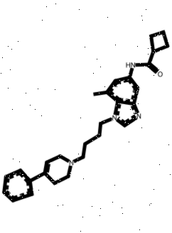 Cc1cc(NC(=O)C2CCC2)cc2ncn(CCCCN3CC=C(c4ccccc4)CC3)c12